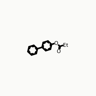 [CH2]CC(=O)Oc1ccc(-c2ccccc2)cc1